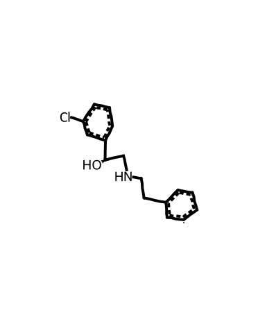 O[C@H](CNCCc1c[c]ccc1)c1cccc(Cl)c1